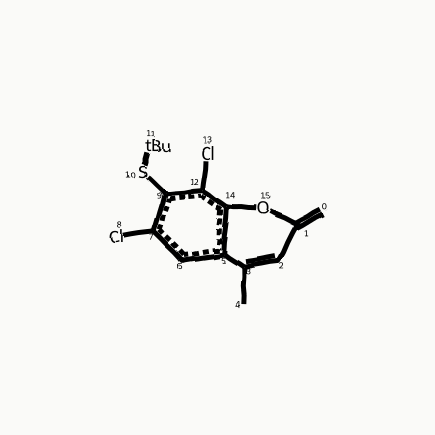 C=C1C=C(C)c2cc(Cl)c(SC(C)(C)C)c(Cl)c2O1